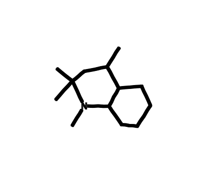 CC1CC(C)(C)N(C)C2CCCCC12